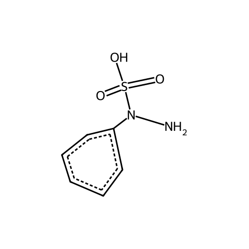 NN(c1ccccc1)S(=O)(=O)O